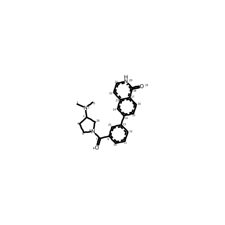 CN(C)C1CCN(C(=O)c2cccc(-c3ccc4c(=O)[nH]ccc4c3)c2)C1